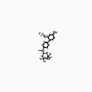 CN(c1ccc(-c2ccc(O)cc2OC(F)(F)F)nn1)C1CC(C)(C)NC(C)(C)C1